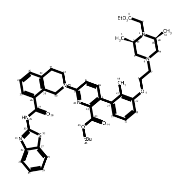 CCOC(=O)CN1[C@H](C)CN(CCOc2cccc(-c3ccc(N4CCc5cccc(C(=O)Nc6nc7ccccc7s6)c5C4)nc3C(=O)OC(C)(C)C)c2C)C[C@@H]1C